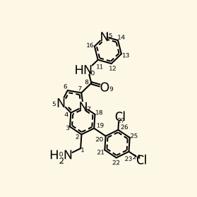 NCc1cc2ncc(C(=O)Nc3cccnc3)n2cc1-c1ccc(Cl)cc1Cl